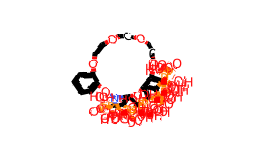 O=P(O)(O)C(C1OCCOCCOCCOc2ccccc2ON(C(P(=O)(O)O)P(=O)(O)O)C(C(P(=O)(O)O)P(=O)(O)O)(C(P(=O)(O)O)P(=O)(O)O)OC1(C(P(=O)(O)O)P(=O)(O)O)C(P(=O)(O)O)P(=O)(O)O)P(=O)(O)O